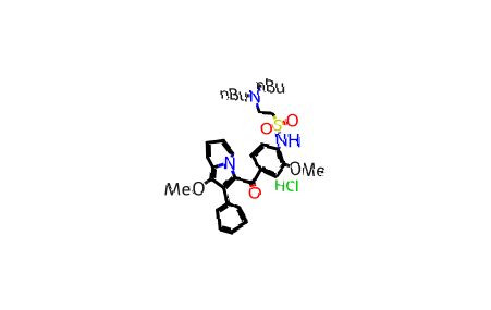 CCCCN(CCCC)CCS(=O)(=O)Nc1ccc(C(=O)c2c(-c3ccccc3)c(OC)c3ccccn23)cc1OC.Cl